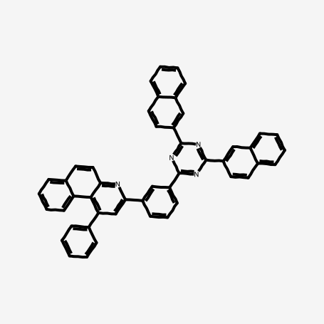 c1ccc(-c2cc(-c3cccc(-c4nc(-c5ccc6ccccc6c5)nc(-c5ccc6ccccc6c5)n4)c3)nc3ccc4ccccc4c23)cc1